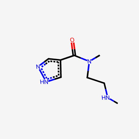 CNCCN(C)C(=O)c1cn[nH]c1